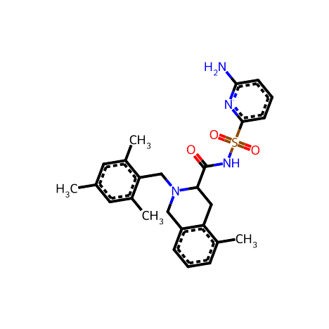 Cc1cc(C)c(CN2Cc3cccc(C)c3CC2C(=O)NS(=O)(=O)c2cccc(N)n2)c(C)c1